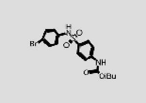 CC(C)COC(=O)Nc1ccc(S(=O)(=O)Nc2ccc(Br)cc2)cc1